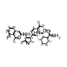 C=C(NC1=C(C(=C)/C=C\C(NC(=O)[C@H]2CCCC[C@@H]2C(N)=O)=C(C)C)CN=C1C)OC(C)c1cccnc1F